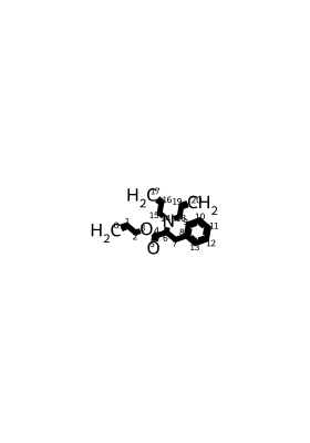 C=CCOC(=O)C(Cc1ccccc1)N(CC=C)CC=C